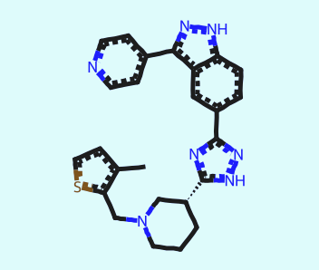 Cc1ccsc1CN1CCC[C@@H](c2nc(-c3ccc4[nH]nc(-c5ccncc5)c4c3)n[nH]2)C1